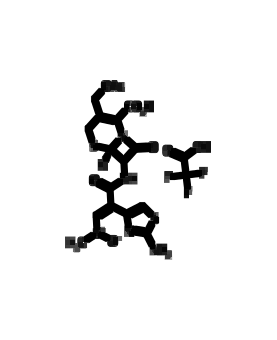 CC(=O)OCC1=C(C(=O)O)N2C(=O)C(NC(=O)/C(=C/[S+](C)[O-])c3csc(N)n3)[C@@H]2SC1.O=C(O)C(F)(F)F